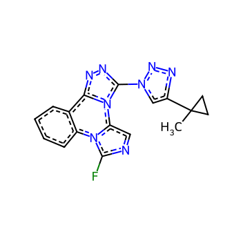 CC1(c2cn(-c3nnc4c5ccccc5n5c(F)ncc5n34)nn2)CC1